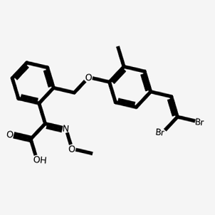 CON=C(C(=O)O)c1ccccc1COc1ccc(C=C(Br)Br)cc1C